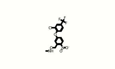 CNOCc1cc(Oc2ccc(C(F)(F)F)cc2Cl)ccc1[N+](=O)[O-]